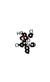 Cc1ccc(N(C(=O)c2cc(-c3cc(Cl)ccc3C(=O)N3Cc4ccccc4C[C@H]3CN3CCOCC3)n3c2CCCC3)c2ccc(O)cc2)cc1Cl